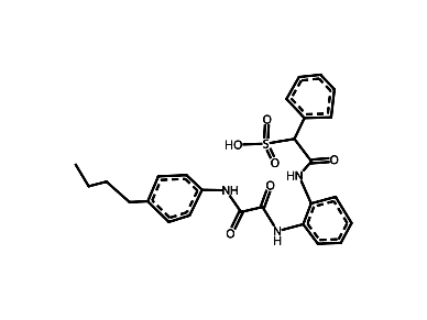 CCCCc1ccc(NC(=O)C(=O)Nc2ccccc2NC(=O)C(c2ccccc2)S(=O)(=O)O)cc1